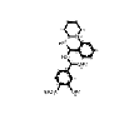 CCCC(NC(C=O)c1ccc(C(=O)OCC)c(OC(C)=O)c1)c1ccccc1N1CCCCC1